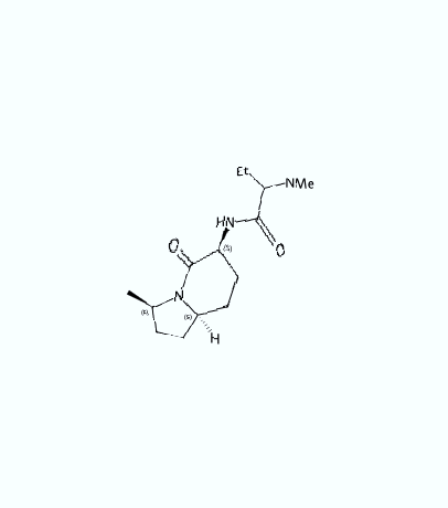 CCC(NC)C(=O)N[C@H]1CC[C@H]2CC[C@@H](C)N2C1=O